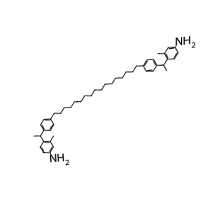 Cc1cc(N)ccc1C(C)c1ccc(CCCCCCCCCCCCCCCCCc2ccc(C(C)c3ccc(N)cc3C)cc2)cc1